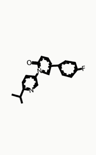 CC(C)c1ccc(-n2cc(-c3ccc(F)cc3)ccc2=O)cn1